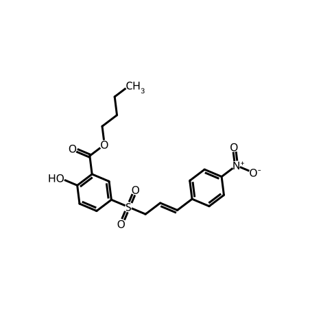 CCCCOC(=O)c1cc(S(=O)(=O)CC=Cc2ccc([N+](=O)[O-])cc2)ccc1O